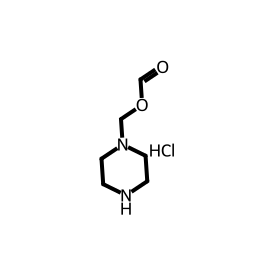 Cl.O=COCN1CCNCC1